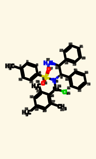 Cc1ccc(S(=O)(=O)[N]([C@@H](c2ccccc2)[C@@H](N)c2ccccc2)[Ru]([Cl])[c]2c(C)cc(C)cc2C)cc1